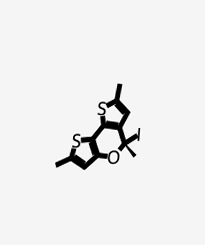 Cc1cc2c(s1)-c1sc(C)cc1[C@](C)(I)O2